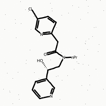 CCCN(C[C@@H](O)c1cccnc1)C(=O)Cc1ccc(Cl)cn1